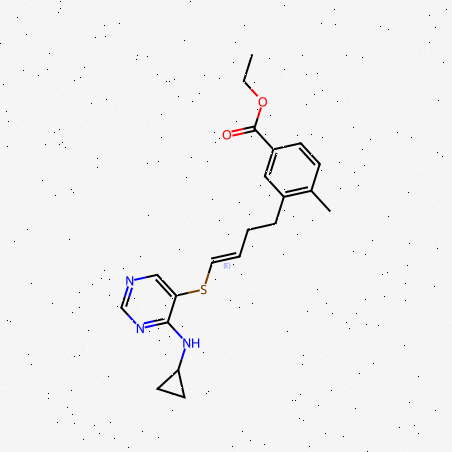 CCOC(=O)c1ccc(C)c(CC/C=C/Sc2cncnc2NC2CC2)c1